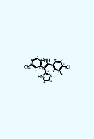 Cc1cc(-c2[nH]c3ccc(Cl)cc3c2C2=NCCN2)ccc1Cl